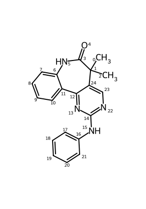 CC1(C)C(=O)Nc2ccccc2-c2nc(Nc3ccccc3)ncc21